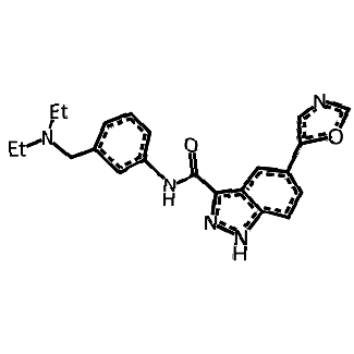 CCN(CC)Cc1cccc(NC(=O)c2n[nH]c3ccc(-c4cnco4)cc23)c1